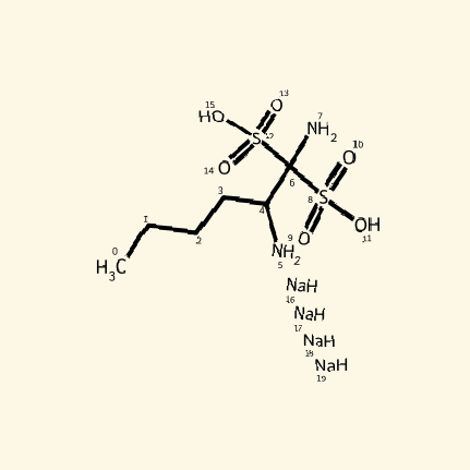 CCCCC(N)C(N)(S(=O)(=O)O)S(=O)(=O)O.[NaH].[NaH].[NaH].[NaH]